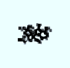 [2H]c1cc([C@]2(C#N)O[C@H](CO)[C@H]3OC(C)(C)O[C@H]32)n2ncnc(N)c12